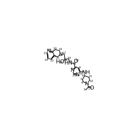 CC(=O)N1CCC(Nc2cc(C(=O)NC[C@H](O)CN3CCc4ncccc4C3)ncn2)CC1